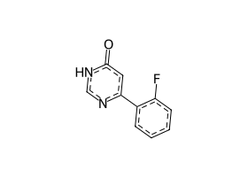 O=c1cc(-c2ccccc2F)nc[nH]1